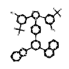 Cc1cc(-c2nnc(-c3cc(C)cc(C(F)(F)F)c3)n2-c2ccc(-c3cc(-c4nc5ccccc5s4)cc(-c4cccc5ccccc45)c3)cc2)cc(C(F)(F)F)c1